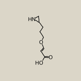 O=C(O)C=COCCCC1CN1